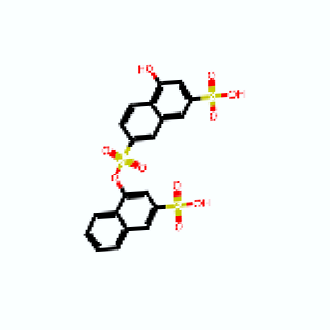 O=S(=O)(O)c1cc(O)c2ccc(S(=O)(=O)Oc3cc(S(=O)(=O)O)cc4ccccc34)cc2c1